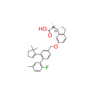 Cc1ccc(F)c(-c2ccc(COc3ccc4c(c3)[C@H]([C@@H](C)C(=O)O)CC4)cc2C2=CCCC2(C)C)c1